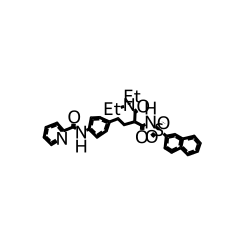 CCN(CC)C(=O)C(CCc1ccc(NC(=O)c2ccccn2)cc1)C(=O)NS(=O)(=O)c1ccc2ccccc2c1